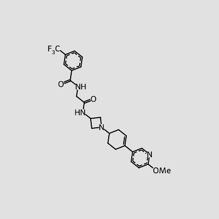 COc1ccc(C2=CCC(N3CC(NC(=O)CNC(=O)c4cccc(C(F)(F)F)c4)C3)CC2)cn1